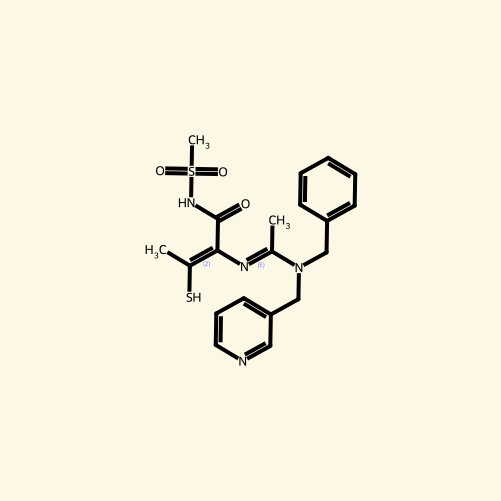 C/C(S)=C(/N=C(\C)N(Cc1ccccc1)Cc1cccnc1)C(=O)NS(C)(=O)=O